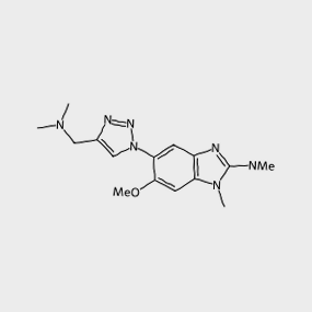 CNc1nc2cc(-n3cc(CN(C)C)nn3)c(OC)cc2n1C